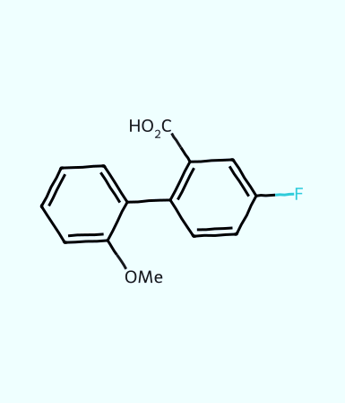 COc1ccccc1-c1ccc(F)cc1C(=O)O